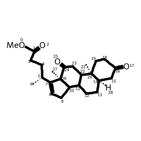 COC(=O)CC[C@@H](C)C1=CCC2C3CC[C@@H]4CC(=O)CC[C@]4(C)C3CC(=O)[C@]12C